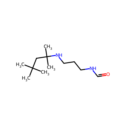 CC(C)(C)CC(C)(C)NCCCNC=O